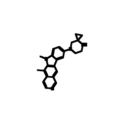 Cc1c2ccncc2cc2c3cc(N4CCNC5(CC5)C4)ccc3n(C)c12